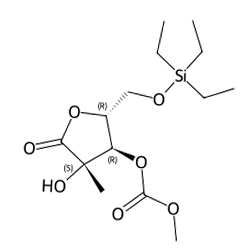 CC[Si](CC)(CC)OC[C@H]1OC(=O)[C@@](C)(O)[C@@H]1OC(=O)OC